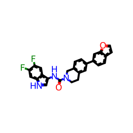 O=C(Nc1c[nH]c2cc(F)c(F)cc12)N1CCc2cc(-c3ccc4ccoc4c3)ccc2C1